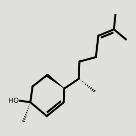 CC(C)=CCC[C@H](C)[C@H]1C=C[C@@](C)(O)CC1